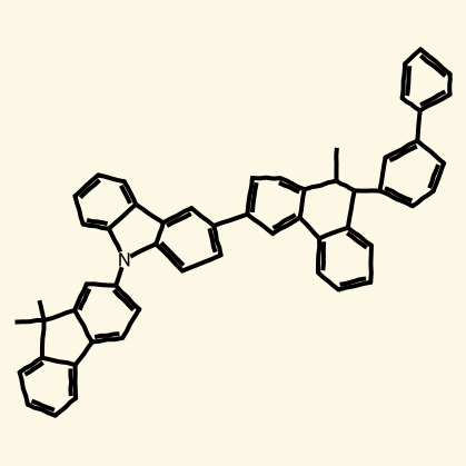 CC1c2ccc(-c3ccc4c(c3)c3ccccc3n4-c3ccc4c(c3)C(C)(C)c3ccccc3-4)cc2-c2ccccc2C1c1cccc(-c2ccccc2)c1